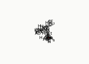 CC[C@H](NC(=O)[C@@H]1C[C@@](C)(NC(=O)Nc2cccc(C(C)=O)c2)c2ncc(NCc3cccc(C(F)(F)F)c3)c(=O)n21)B1O[C@@H]2C[C@@H]3C[C@@H](C3(C)C)[C@]2(C)O1